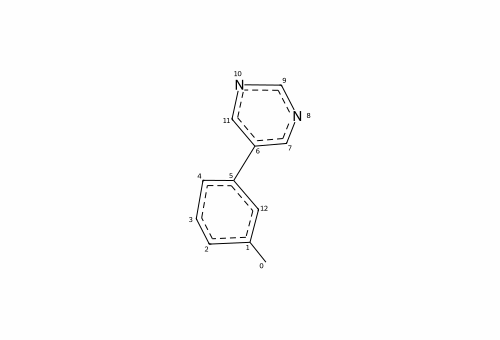 Cc1cccc(-c2cncnc2)c1